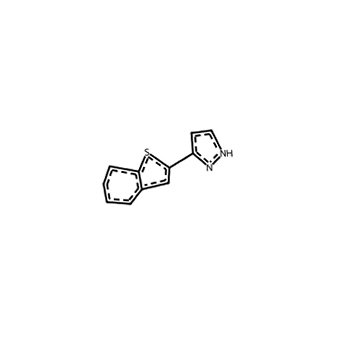 c1ccc2sc(-c3cc[nH]n3)cc2c1